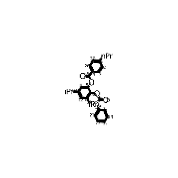 CCCc1ccc(C(=O)Oc2cc(C(C)C)cc(C(C)C)c2OC(=O)Oc2ccccc2)cc1